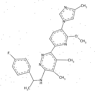 COc1nc(-c2nnc(NC(C)c3ccc(F)cc3)c(C)c2C)ccc1-n1cnc(C)c1